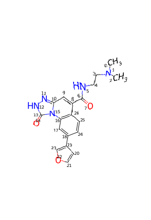 CN(C)CCNC(=O)c1cc2n[nH]c(=O)n2c2cc(-c3ccoc3)ccc12